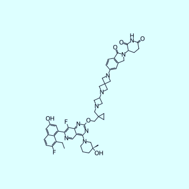 CCc1c(F)ccc2cc(O)cc(-c3ncc4c(N5CCC[C@@](C)(O)C5)nc(OCC5(CN6CC(N7CC8(CN(c9ccc%10c(c9)CN(C9CCC(=O)NC9=O)C%10=O)C8)C7)C6)CC5)nc4c3F)c12